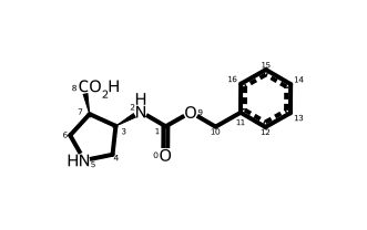 O=C(N[C@H]1CNC[C@H]1C(=O)O)OCc1ccccc1